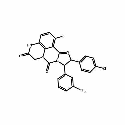 Cc1cccc(C2C(c3ccc(Cl)cc3)N=C3c4c(Cl)ccc5c4N(CC(=O)N5)C(=O)N32)c1